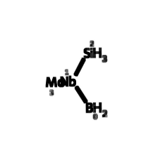 [BH2][Nb][SiH3].[Mo]